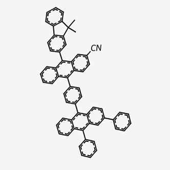 CC1(C)c2ccccc2-c2ccc(-c3c4ccccc4c(-c4ccc(-c5c6ccccc6c(-c6ccccc6)c6cc(-c7ccccc7)ccc56)cc4)c4ccc(C#N)cc34)cc21